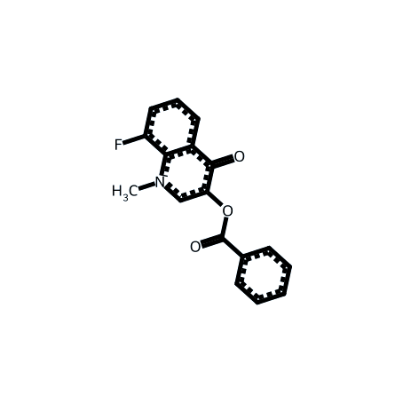 Cn1cc(OC(=O)c2ccccc2)c(=O)c2cccc(F)c21